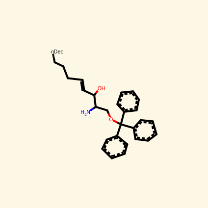 CCCCCCCCCCCCCC=CC(O)C(N)COC(c1ccccc1)(c1ccccc1)c1ccccc1